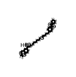 CC1(C)OCc2cc([C@@H](O)CNCCCCCCOCCCCc3ccc(S(=O)(=O)C4CCCC4)cc3)ccc2O1